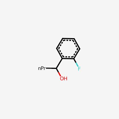 [CH2]CCC(O)c1ccccc1F